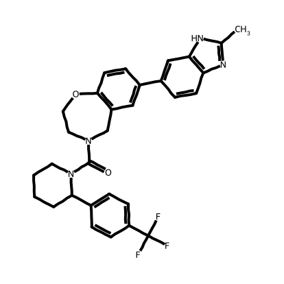 Cc1nc2ccc(-c3ccc4c(c3)CN(C(=O)N3CCCCC3c3ccc(C(F)(F)F)cc3)CCO4)cc2[nH]1